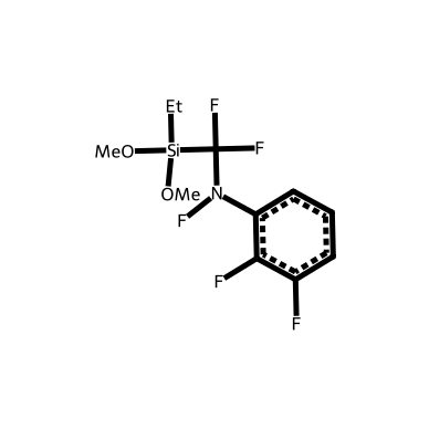 CC[Si](OC)(OC)C(F)(F)N(F)c1cccc(F)c1F